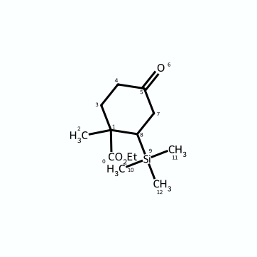 CCOC(=O)C1(C)CCC(=O)CC1[Si](C)(C)C